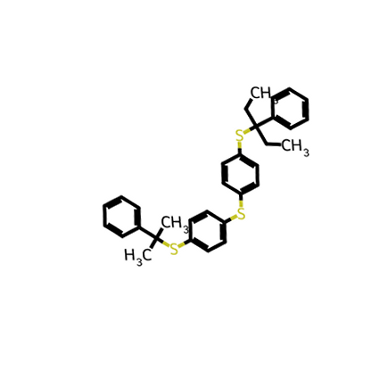 CCC(CC)(Sc1ccc(Sc2ccc(SC(C)(C)c3ccccc3)cc2)cc1)c1ccccc1